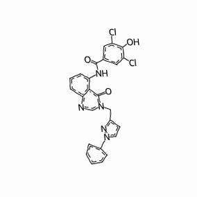 O=C(Nc1cccc2ncn(Cc3ccn(-c4ccccc4)n3)c(=O)c12)c1cc(Cl)c(O)c(Cl)c1